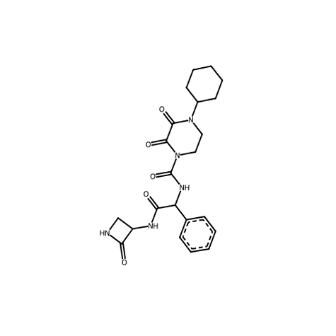 O=C1NCC1NC(=O)C(NC(=O)N1CCN(C2CCCCC2)C(=O)C1=O)c1ccccc1